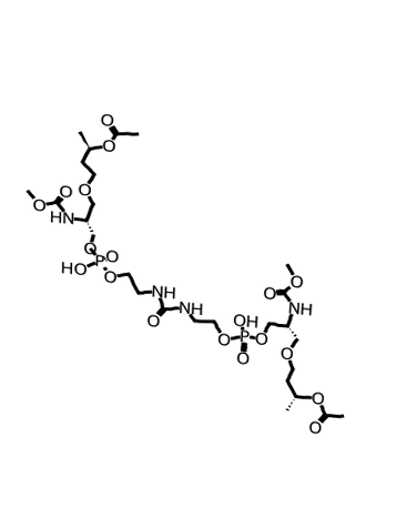 COC(=O)N[C@H](COCC[C@@H](C)OC(C)=O)COP(=O)(O)OCCNC(=O)NCCOP(=O)(O)OC[C@@H](COCC[C@@H](C)OC(C)=O)NC(=O)OC